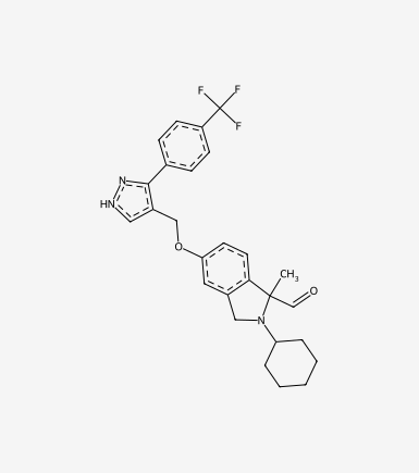 CC1(C=O)c2ccc(OCc3c[nH]nc3-c3ccc(C(F)(F)F)cc3)cc2CN1C1CCCCC1